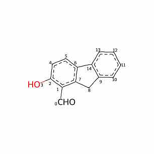 O=Cc1c(O)ccc2c1Cc1ccccc1-2